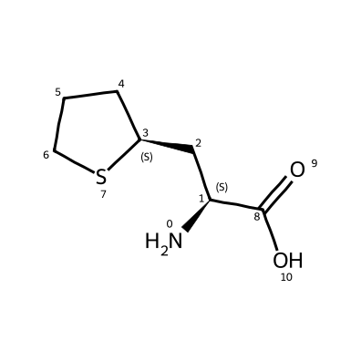 N[C@@H](C[C@@H]1CCCS1)C(=O)O